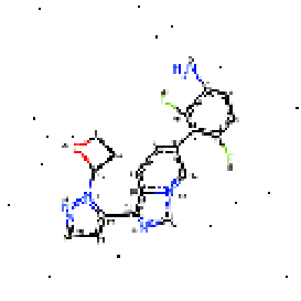 Nc1ccc(F)c(-c2ccc3c(-c4ccnn4C4CCO4)ncn3c2)c1F